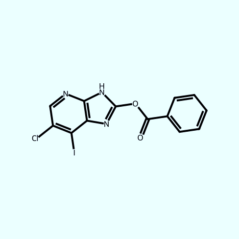 O=C(Oc1nc2c(I)c(Cl)cnc2[nH]1)c1ccccc1